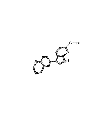 CCOc1ccc2c(-c3ccc4ncccc4c3)c[nH]c2n1